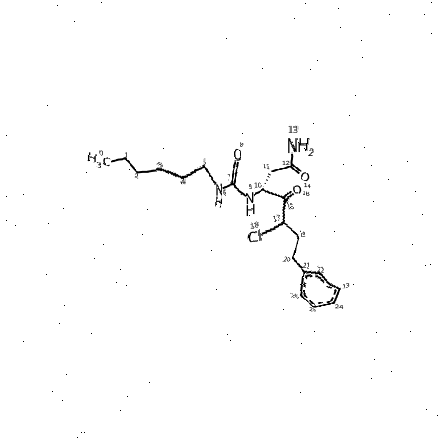 CCCCCCNC(=O)N[C@H](CC(N)=O)C(=O)C(Cl)CCc1ccccc1